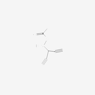 C#CC(C#C)[SiH2]OC(C)=O